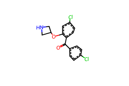 O=C(c1ccc(Cl)cc1)c1ccc(Cl)cc1OC1CNC1